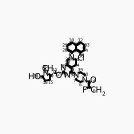 C=C(F)C(=O)N1CCN(c2nc(OC[C@@H]3CCC(O)N3C)nc3c2CCN(c2cccc4cccc(Cl)c24)C3)CC1